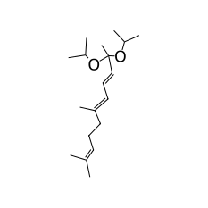 CC(C)=CCC/C(C)=C/C=C/C(C)(OC(C)C)OC(C)C